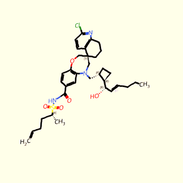 C=CCC[C@@H](C)S(=O)(=O)NC(=O)c1ccc2c(c1)N(C[C@@H]1CC[C@H]1[C@@H](O)/C=C/CCC)C[C@@]1(CCCc3nc(Cl)ccc31)CO2